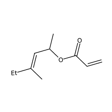 C=CC(=O)OC(C)C=C(C)CC